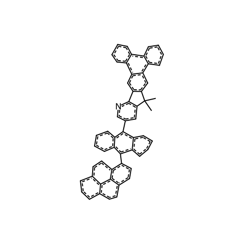 CC1(C)c2cc3c4ccccc4c4ccccc4c3cc2-c2ncc(-c3c4ccccc4c(-c4ccc5ccc6cccc7ccc4c5c67)c4ccccc34)cc21